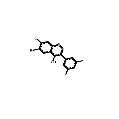 Cc1cc(F)cc(-c2nnc3cc(Cl)c(Br)cc3c2O)c1